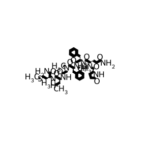 CSCC[C@H](NC(=O)[C@H](CC(C)C)NC(=O)CN(C)C(=O)[C@H](Cc1ccccc1)N(C)C(=O)[C@H](Cc1ccccc1)NC(=O)[C@H](CCC(N)=O)NC(=O)[C@@H]1CCC(=O)N1)C(N)=O